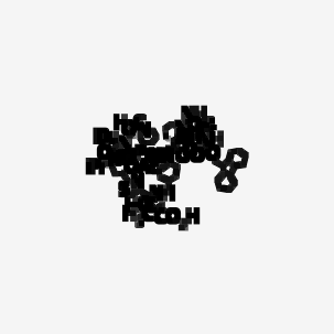 CCCCCON(C(=O)[C@@H](NC(=O)[C@H]1CCCCN1C)[C@@H](C)CC)[C@H](C[C@@H](OC(C)=O)c1nc(C(=O)N[C@@H](Cc2ccc(NC(=O)[C@H](CCCNC(N)=O)NC(=O)[C@@H](NC(=O)OCC3c4ccccc4-c4ccccc43)C(C)C)cc2)CC(C)(C)C(=O)O)cs1)C(C)C